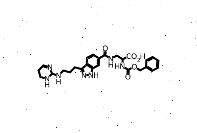 O=C(NC(CNC(=O)c1ccc2c(CCCNC3N=CCCN3)n[nH]c2c1)C(=O)O)OCc1ccccc1